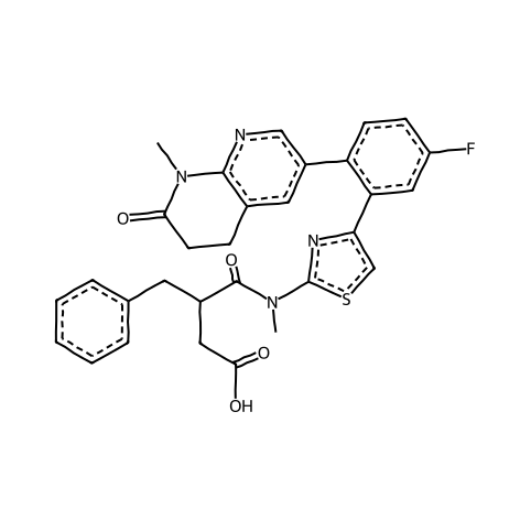 CN(C(=O)C(CC(=O)O)Cc1ccccc1)c1nc(-c2cc(F)ccc2-c2cnc3c(c2)CCC(=O)N3C)cs1